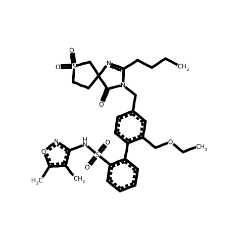 CCCCC1=NC2(CCS(=O)(=O)C2)C(=O)N1Cc1ccc(-c2ccccc2S(=O)(=O)Nc2noc(C)c2C)c(COCC)c1